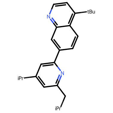 CC(C)Cc1cc(C(C)C)cc(-c2ccc3c(C(C)(C)C)ccnc3c2)n1